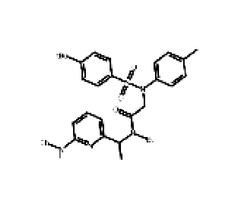 CCNc1cccc(C(C)N(CC)C(=O)CN(c2ccc(C)cc2)S(=O)(=O)c2ccc(C(C)(C)C)cc2)n1